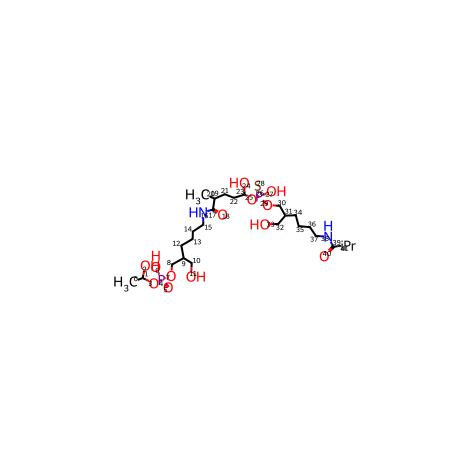 CC(O)OP(=O)(O)OCC(CO)CCCCNC(=O)C(C)CCC(O)OP(O)(=S)OCC(CO)CCCCNC(=O)C(C)C